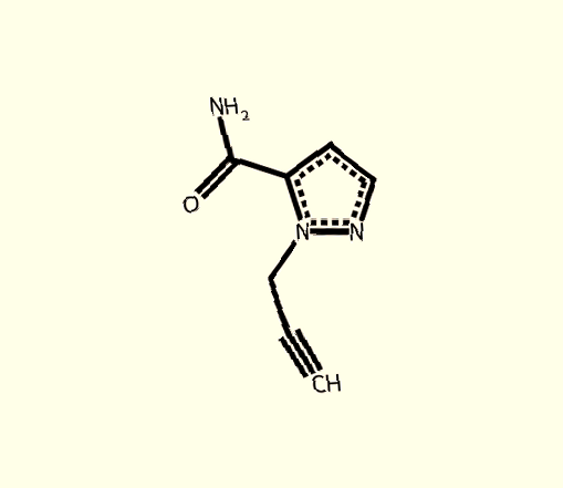 C#CCn1nccc1C(N)=O